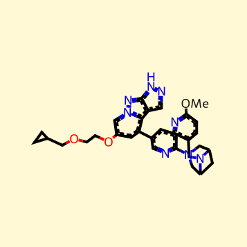 COc1ccc(CN2C3CC2CN(c2ccc(-c4cc(OCCOCC5CC5)cn5nc6[nH]ncc6c45)cn2)C3)cn1